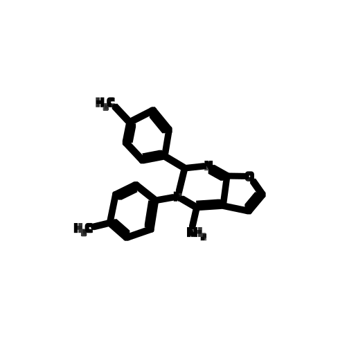 Cc1ccc(C2N=c3occc3=C(N)N2c2ccc(C)cc2)cc1